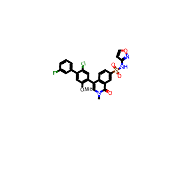 COc1cc(-c2cccc(F)c2)c(Cl)cc1-c1cn(C)c(=O)c2cc(S(=O)(=O)Nc3ccon3)ccc12